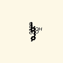 COCOc1c(C)c(O)c(C(=O)C=Cc2ccc(C)cc2)c(OC)c1C